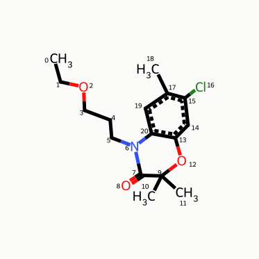 CCOCCCN1C(=O)C(C)(C)Oc2cc(Cl)c(C)cc21